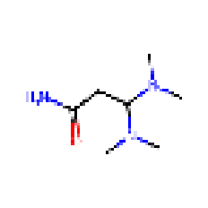 CN(C)C(CC(N)=O)N(C)C